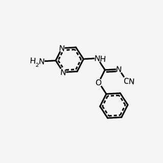 N#CN=C(Nc1cnc(N)nc1)Oc1ccccc1